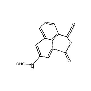 O=CNc1cc2c3c(cccc3c1)C(=O)OC2=O